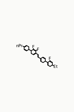 CCCC1=CCC(C2CC=C(/C=C/C3=CCC(C4=CCC(CC)C=C4F)C=C3)C(F)=C2F)C=C1